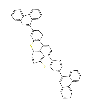 C1=C(c2cc3ccccc3c3ccccc23)CCC2=C1Sc1ccc3c4c(ccc2c14)-c1ccc(-c2cc4ccccc4c4ccccc24)cc1S3